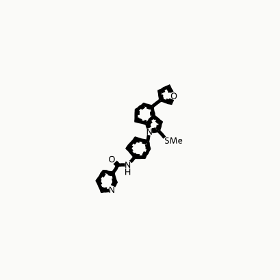 CSc1cc2c(-c3ccoc3)cccc2n1-c1ccc(NC(=O)c2cccnc2)cc1